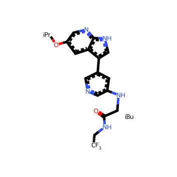 CC[C@H](C)C(Nc1cncc(-c2c[nH]c3ncc(OC(C)C)cc23)c1)C(=O)NCC(F)(F)F